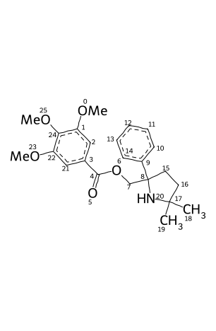 COc1cc(C(=O)OCC2(c3ccccc3)CCC(C)(C)N2)cc(OC)c1OC